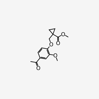 COC(=O)C1(COc2ccc(C(C)=O)cc2OC)CC1